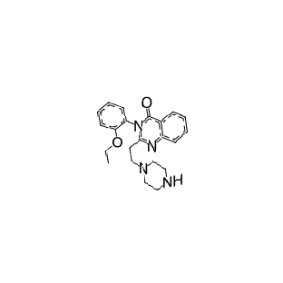 CCOc1ccccc1-n1c(CCN2CCNCC2)nc2ccccc2c1=O